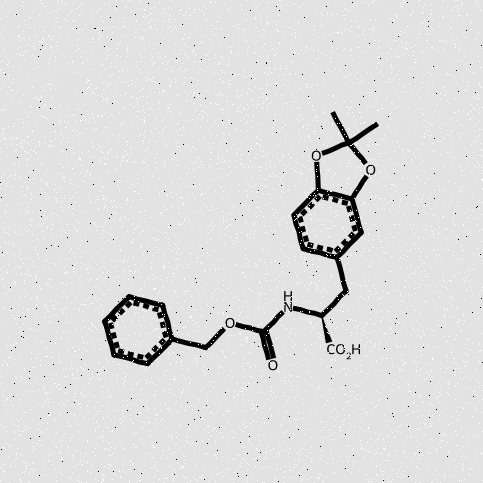 CC1(C)Oc2ccc(C[C@H](NC(=O)OCc3ccccc3)C(=O)O)cc2O1